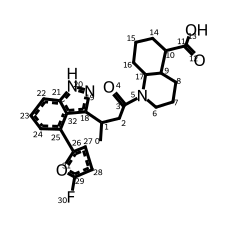 CC(CC(=O)N1CCCC2C(C(=O)O)CCCC21)c1n[nH]c2cccc(-c3ccc(F)o3)c12